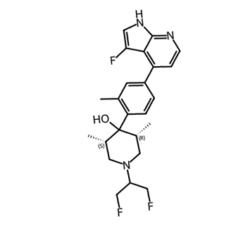 Cc1cc(-c2ccnc3[nH]cc(F)c23)ccc1C1(O)[C@H](C)CN(C(CF)CF)C[C@@H]1C